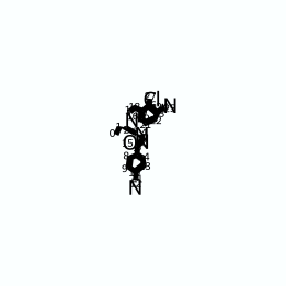 CC[C@H](c1nnc(-c2ccc(C#N)cc2)o1)N1CCc2c1ccc(C#N)c2Cl